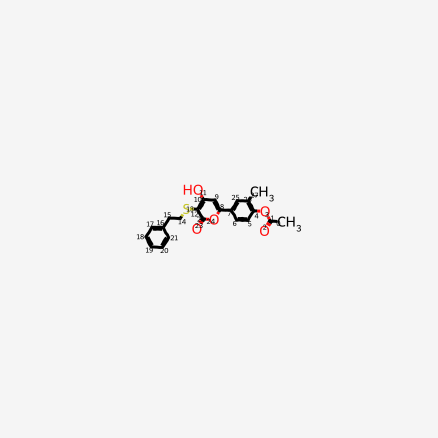 CC(=O)Oc1ccc(-c2cc(O)c(SCCc3ccccc3)c(=O)o2)cc1C